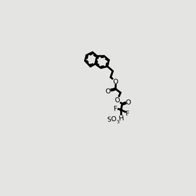 O=C(COC(=O)C(F)(F)S(=O)(=O)O)OCCc1ccc2ccccc2c1